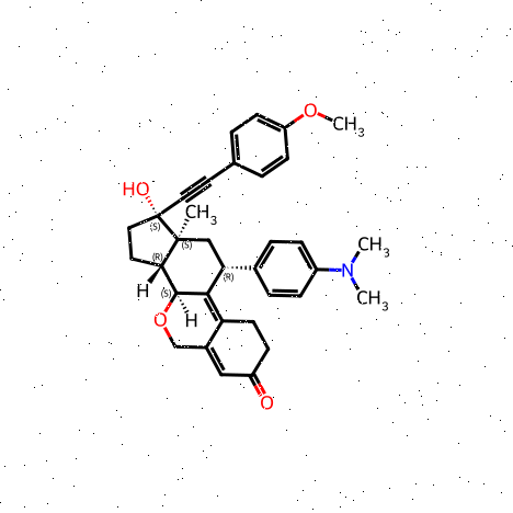 COc1ccc(C#C[C@]2(O)CC[C@H]3[C@@H]4OCC5=CC(=O)CCC5=C4[C@@H](c4ccc(N(C)C)cc4)C[C@@]32C)cc1